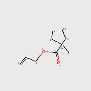 C=CCOC(=O)C(C)(CC)CC